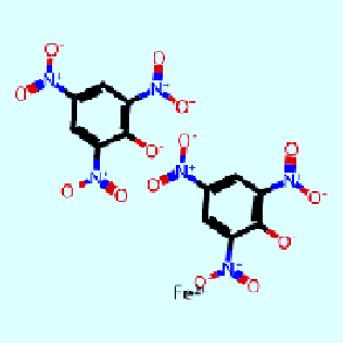 O=[N+]([O-])c1cc([N+](=O)[O-])c([O-])c([N+](=O)[O-])c1.O=[N+]([O-])c1cc([N+](=O)[O-])c([O-])c([N+](=O)[O-])c1.[Fe+2]